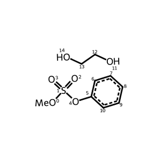 COS(=O)(=O)Oc1ccccc1.OCCO